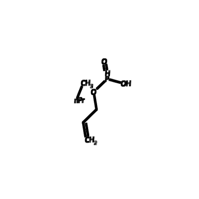 C=CCO[PH](=O)O.CCCC